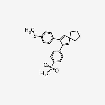 CSc1ccc(C2=CC3(C=C2c2ccc(S(C)(=O)=O)cc2)CCCC3)cc1